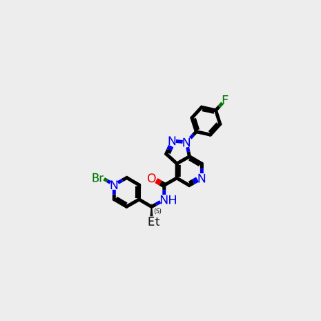 CC[C@H](NC(=O)c1cncc2c1cnn2-c1ccc(F)cc1)C1=CCN(Br)C=C1